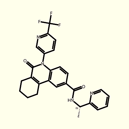 C[C@H](NC(=O)c1ccc2c(c1)c1c(c(=O)n2-c2ccc(C(F)(F)F)nc2)CCCC1)c1ccccn1